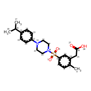 Cc1ccc(S(=O)(=O)N2CCN(c3ccc(C(C)C)cc3)CC2)cc1CC(=O)O